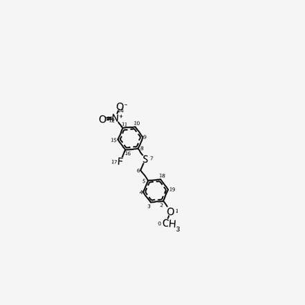 COc1ccc(CSc2ccc([N+](=O)[O-])cc2F)cc1